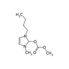 CCCCN1C=CN(C)C1OC(=O)OC